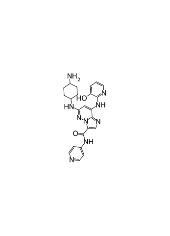 NC1CCC(Nc2cc(Nc3ncccc3O)c3ncc(C(=O)Nc4ccncc4)n3n2)CC1